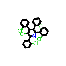 Clc1ccccc1-c1nc(-c2ccccc2Cl)c(-c2ccccc2Cl)c(-c2ccccc2Cl)c1Cl